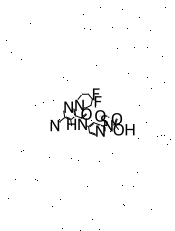 Cc1c(C#N)cnc(N2CCCC(F)(F)CC2)c1C(=O)Nc1ccnc(S(C)(=O)=NC(=O)O)c1